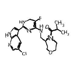 CC(C)C(=O)N1CCOCC1CNC1=C(F)CNC(c2c[nH]c3ncc(Cl)cc23)=N1